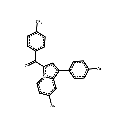 CC(=O)c1ccc(-c2cc(C(=O)c3ccc(C(F)(F)F)cc3)n3ccc(C(C)=O)cc23)cc1